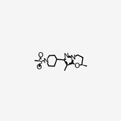 Cc1c(C2CCN(S(C)(=O)=O)CC2)nn2c1O[C@H](C)CC2